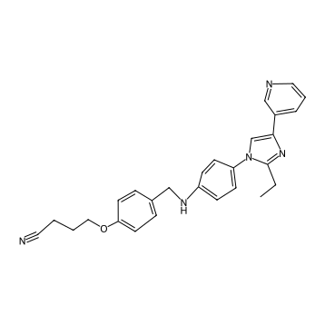 CCc1nc(-c2cccnc2)cn1-c1ccc(NCc2ccc(OCCCC#N)cc2)cc1